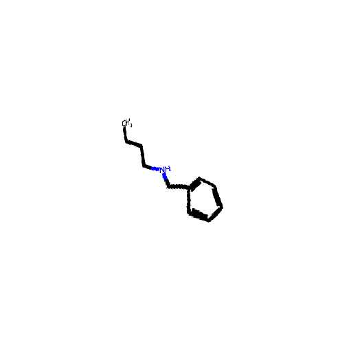 CCCCNCc1ccccc1